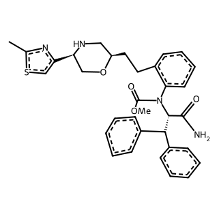 COC(=O)N(c1ccccc1CC[C@@H]1CN[C@H](c2csc(C)n2)CO1)[C@H](C(N)=O)C(c1ccccc1)c1ccccc1